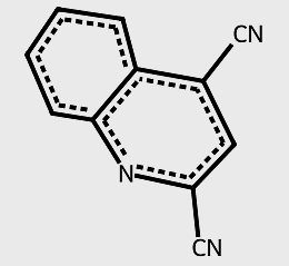 N#Cc1cc(C#N)c2ccccc2n1